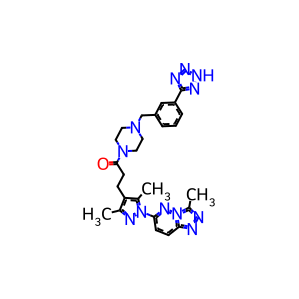 Cc1nn(-c2ccc3nnc(C)n3n2)c(C)c1CCC(=O)N1CCN(Cc2cccc(-c3nn[nH]n3)c2)CC1